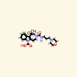 CC1(C)CN(C(=O)NCCCN2CCOCC2)C=Cc2c1c1ccccc1n2C(=O)O